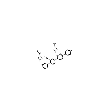 C=CC(=O)N1CC(Oc2cccc(-c3ccc(-c4ccc(-c5ccc(C)cc5)cc4OC4CN(C(C)=O)C4)cc3C#N)c2)C1